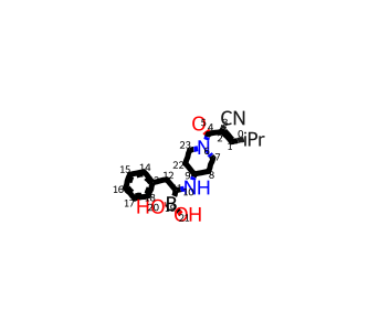 CC(C)C=C(C#N)C(=O)N1CCC(NC(Cc2ccccc2)B(O)O)CC1